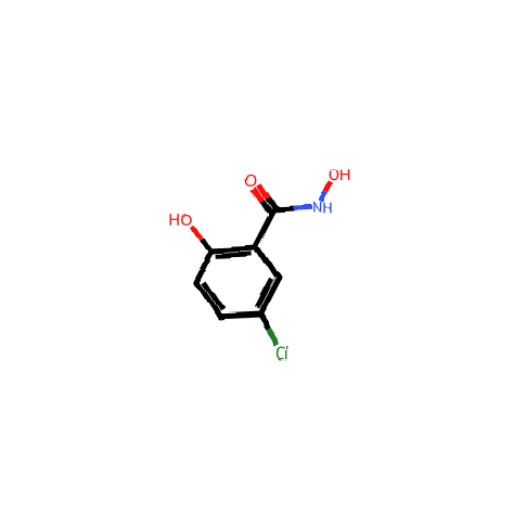 O=C(NO)c1cc(Cl)ccc1O